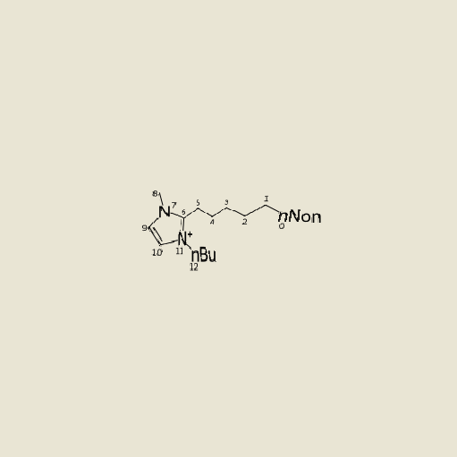 CCCCCCCCCCCCCCc1n(C)cc[n+]1CCCC